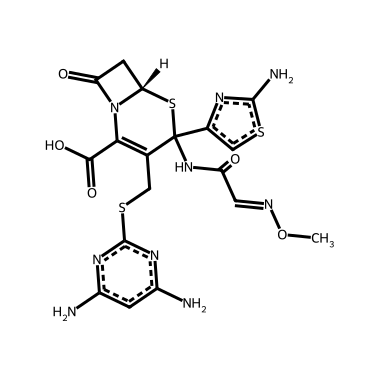 CON=CC(=O)NC1(c2csc(N)n2)S[C@H]2CC(=O)N2C(C(=O)O)=C1CSc1nc(N)cc(N)n1